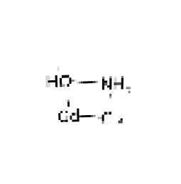 NO.[Cl][Gd]